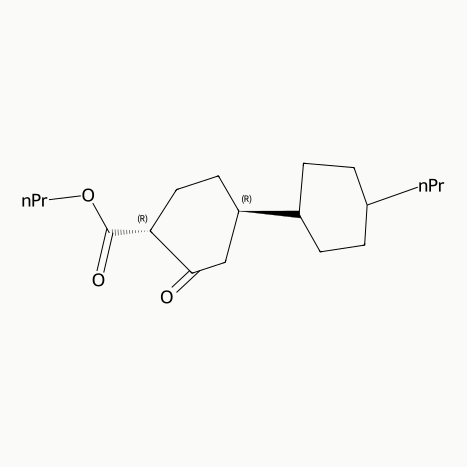 CCCOC(=O)[C@@H]1CC[C@@H](C2CCC(CCC)CC2)CC1=O